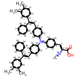 [C-]#[N+]C(=Cc1ccc(N(c2ccc(/C=C(\c3ccccc3)c3ccc(C)c(C)c3)cc2)c2ccc(/C=C(\c3ccccc3)c3ccc(C)c(C)c3)cc2)cc1)C(=O)O